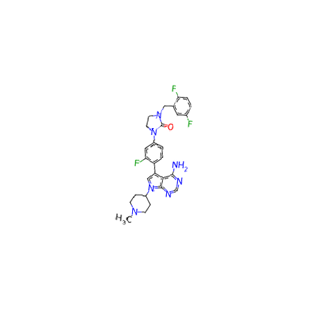 CN1CCC(n2cc(-c3ccc(N4CCN(Cc5cc(F)ccc5F)C4=O)cc3F)c3c(N)ncnc32)CC1